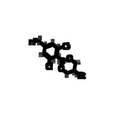 CCCc1cc(Cl)c(B2OCC(CC)CO2)c(Cl)c1